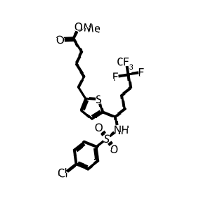 COC(=O)CCCCc1ccc(C(CCCC(F)(F)C(F)(F)F)NS(=O)(=O)c2ccc(Cl)cc2)s1